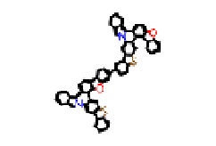 c1ccc2c(c1)cn1c3cc4c(cc3c3c(ccc5c6ccc(-c7ccc8sc9cc%10c%11c(ccc%12oc%13ccccc%13c%12%11)c%11c%12ccccc%12cn%11c%10cc9c8c7)cc6oc53)c21)sc1ccccc14